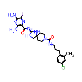 Cc1cc(Cl)ccc1CCCNC(=O)N1CCC2(CC1)CN/C(=N\C(=O)c1nc(I)c(N)nc1N)N2